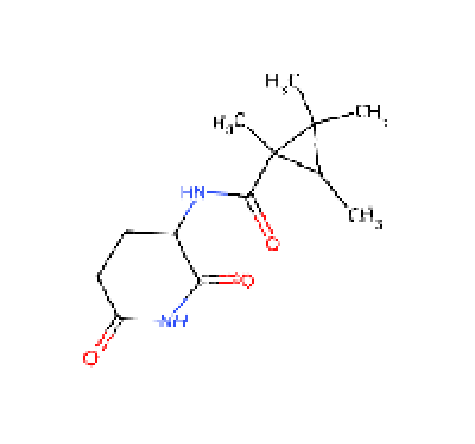 CC1C(C)(C)C1(C)C(=O)NC1CCC(=O)NC1=O